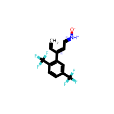 C=C/C(=C\C=[NH+]\[O-])c1cc(C(F)(F)F)ccc1C(F)(F)F